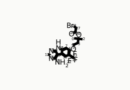 CC(C)(CCOc1cc2[nH]c3ncnc(N)c3c2cc1C(F)(F)F)OC(=O)CBr